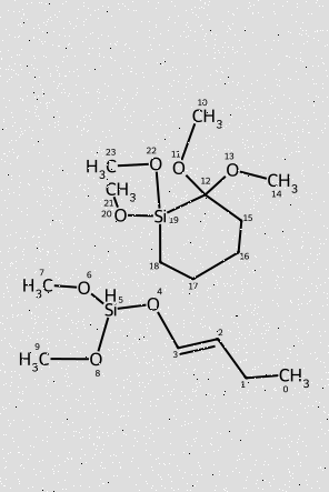 CCC=CO[SiH](OC)OC.COC1(OC)CCCC[Si]1(OC)OC